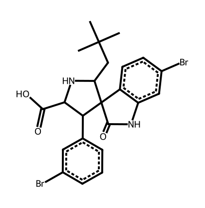 CC(C)(C)CC1NC(C(=O)O)C(c2cccc(Br)c2)C12C(=O)Nc1cc(Br)ccc12